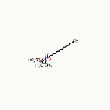 CC(C)CCCCCCCCCCCCCCC(=O)NC(C)CC(C)C(C)CCOS(=O)(=O)O